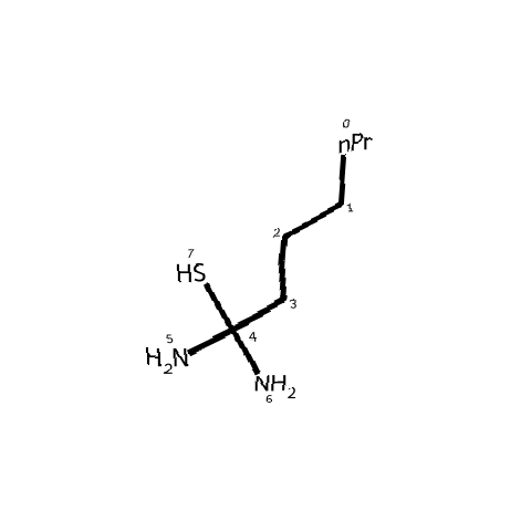 CCCCCCC(N)(N)S